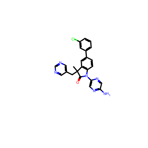 CC1(Cc2cncnc2)C(=O)N(c2cnc(N)cn2)c2ccc(-c3cccc(Cl)c3)cc21